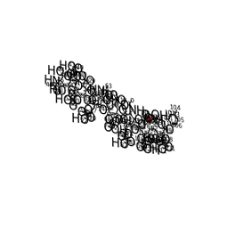 CC(=O)NC1[C@H](O[C@H]2C(C(=O)O)O[C@@H](O[C@@H]3C(COS(=O)(=O)O)O[C@@H](O[C@H]4C(C(=O)O)O[C@@H](O[C@@H]5C(COS(=O)(=O)O)O[C@@H](O)C(NC(C)=O)[C@H]5O)C(OS(=O)(=O)O)[C@H]4O)C(NC(C)=O)[C@H]3O)C(OS(=O)(=O)O)[C@H]2O)OC(COS(=O)(=O)O)[C@@H](O[C@@H]2OC(C(=O)O)[C@H]([C@@H]3C(C(=O)O)O[C@@H](Oc4ccc(C)cc4)C(OS(=O)(=O)O)[C@H]3O)[C@H](O)C2OS(=O)(=O)O)[C@@H]1O